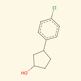 OC1CCC(c2ccc(Cl)cc2)C1